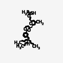 C=C1C[C@H](C[C@@H]2CCO[C@H](c3cccc(C[PH](CCCC)(CCCC)CCCC)c3)O2)O[C@@H](CCOB(P)S)C1